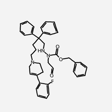 O=CCN(NCC(CCCN1CC=C(c2ccccc2F)CC1)(c1ccccc1)c1ccccc1)C(=O)OCc1ccccc1